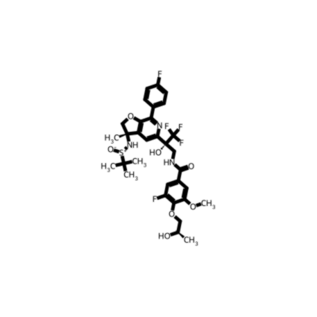 COc1cc(C(=O)NC[C@@](O)(c2cc3c(c(-c4ccc(F)cc4)n2)OC[C@@]3(C)N[S+]([O-])C(C)(C)C)C(F)(F)F)cc(F)c1OC[C@@H](C)O